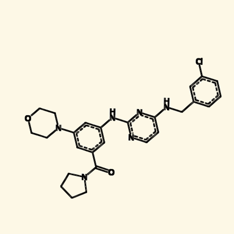 O=C(c1cc(Nc2nccc(NCc3cccc(Cl)c3)n2)cc(N2CCOCC2)c1)N1CCCC1